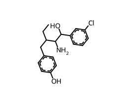 CCC(Cc1ccc(O)cc1)C(N)C(O)c1cccc(Cl)c1